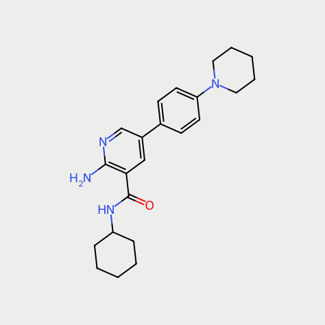 Nc1ncc(-c2ccc(N3CCCCC3)cc2)cc1C(=O)NC1CCCCC1